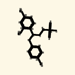 CS(=O)(=O)OCC(Cc1ccc(Cl)cc1)c1ccc(Cl)cc1Cl